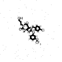 CN1C(=O)N(CCCO)C2OC2c2c1nc(Oc1cccc(OC(F)(F)F)c1)n2Cc1ccc(Cl)cc1